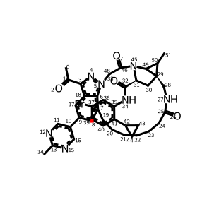 CC(=O)c1nn2c3c(cc(-c4cnc(C)nc4)cc13)CCCCCCC(=O)NC[C@@]13C[C@@H](C(=O)Nc4cc(Br)ccc4C4CC4)N(C(=O)C2)C1C3C